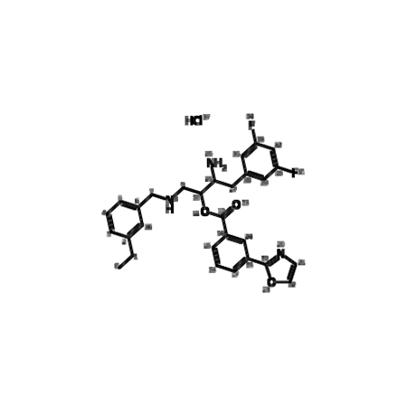 CCc1cccc(CNCC(OC(=O)c2cccc(-c3ncco3)c2)C(N)Cc2cc(F)cc(F)c2)c1.Cl